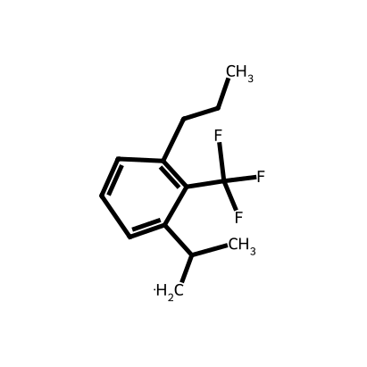 [CH2]C(C)c1cccc(CCC)c1C(F)(F)F